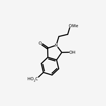 COCCN1C(=O)c2cc(C(=O)O)ccc2C1O